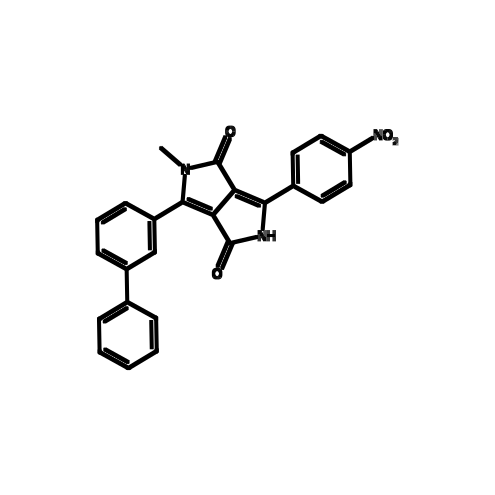 CN1C(=O)C2=C(c3ccc([N+](=O)[O-])cc3)NC(=O)C2=C1c1cccc(-c2ccccc2)c1